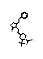 CC(C)(C)C1CC(CCN2C(=O)OCC2COc2ccccc2)CCN1C(=O)O